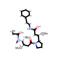 CC[C@@H](C)[C@H]([C@H](CC(=O)N1CCCC1[C@H](CC(=O)NCCC1CCCCC1)OC)OC)N(C)C(=O)CC(C)C